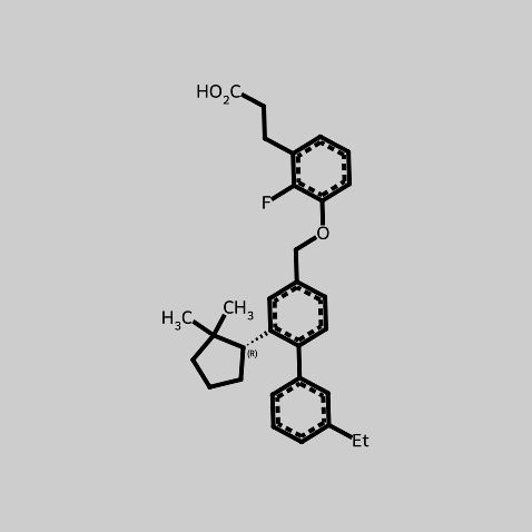 CCc1cccc(-c2ccc(COc3cccc(CCC(=O)O)c3F)cc2[C@@H]2CCCC2(C)C)c1